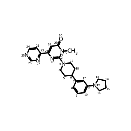 Cn1c(N2CCC(c3cccc(N4CCCC4)c3)CC2)nc(-c2ccncn2)cc1=O